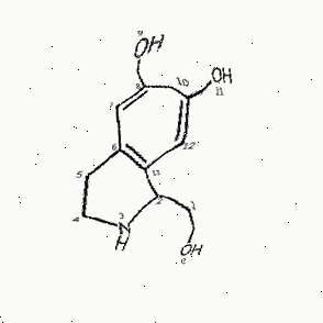 OCC1NCCc2cc(O)c(O)cc21